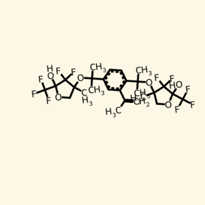 C=C(C)c1cc(C(C)(C)OC2(C)COC(O)(C(F)(F)F)C2(F)F)ccc1C(C)(C)OC1(C)COC(O)(C(F)(F)F)C1(F)F